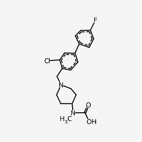 CN(C(=O)O)C1CCN(Cc2ccc(-c3ccc(F)cc3)cc2Cl)CC1